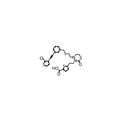 O=C(O)c1ccc(CCN2C(=O)SCCN2CCSCc2cccc(C#Cc3ccsc3Cl)c2)s1